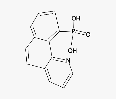 O=P(O)(O)c1cccc2ccc3cccnc3c12